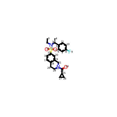 CCN([C@@H](C)c1ccc(F)cc1)S(=O)(=O)c1ccc2c(c1)CN(C(=O)C1CC1)CC2